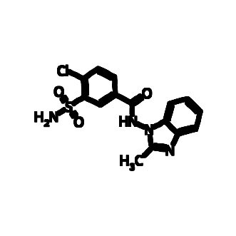 Cc1nc2ccccc2n1NC(=O)c1ccc(Cl)c(S(N)(=O)=O)c1